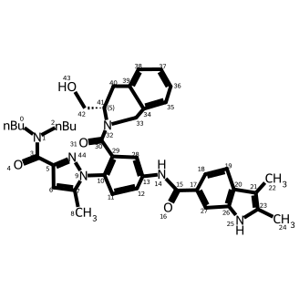 CCCCN(CCCC)C(=O)c1cc(C)n(-c2ccc(NC(=O)c3ccc4c(C)c(C)[nH]c4c3)cc2C(=O)N2Cc3ccccc3C[C@H]2CO)n1